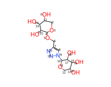 OC1COC(OCc2cn(C3OCC(O)C(O)C3O)nn2)C(O)C1O